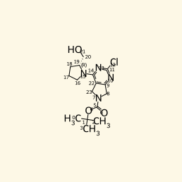 CC(C)(C)OC(=O)N1Cc2nc(Cl)nc(N3CCC[C@@H]3CO)c2C1